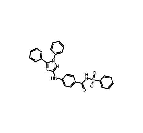 O=C(NS(=O)(=O)c1ccccc1)c1ccc(Nc2nc(-c3ccccc3)n(-c3ccccc3)n2)cc1